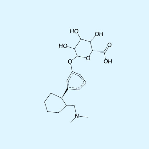 CN(C)CC1CCCC[C@H]1c1cccc(OC2O[C@@H](C(=O)O)C(O)C(O)C2O)c1